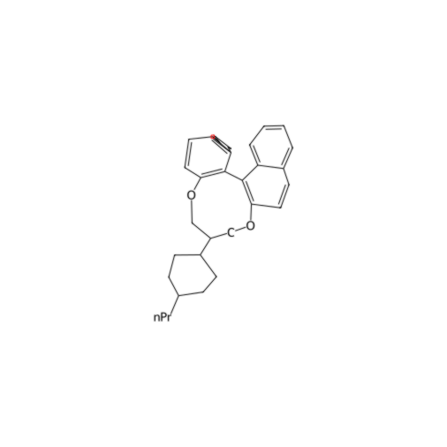 CCCC1CCC(C2COc3ccc4c(c3-c3c(ccc5ccccc35)OC2)CC=CC4)CC1